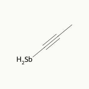 CC#[C][SbH2]